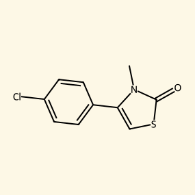 Cn1c(-c2ccc(Cl)cc2)csc1=O